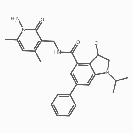 Cc1cc(C)n(N)c(=O)c1CNC(=O)c1cc(-c2ccccc2)cc2c1C(Cl)CN2C(C)C